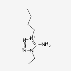 CCCC[n+]1nnn(CC)c1N